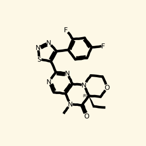 CC[C@]12COCCN1c1nc(-c3snnc3-c3ccc(F)cc3F)ncc1N(C)C2=O